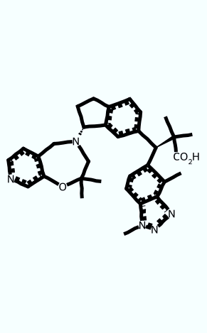 Cc1c([C@@H](c2ccc3c(c2)[C@H](N2Cc4ccncc4OC(C)(C)C2)CC3)C(C)(C)C(=O)O)ccc2c1nnn2C